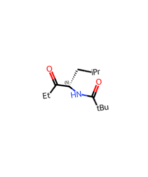 CCC(=O)[C@H](CC(C)C)NC(=O)C(C)(C)C